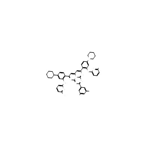 Cc1cccc(Nc2cc(N3CCCCC3)ccc2C2=CC3=CC(c4ccc(C5CCCCC5)cc4Nc4cccc(C)n4)=NC4=NC(c5cc(C(F)(F)F)cc(C(F)(F)F)c5)=NC(=N2)N34)n1